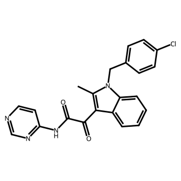 Cc1c(C(=O)C(=O)Nc2ccncn2)c2ccccc2n1Cc1ccc(Cl)cc1